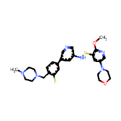 COc1ncc(N2CCOCC2)cc1SNc1cncc(-c2ccc(CN3CCN(C)CC3)c(F)c2)c1